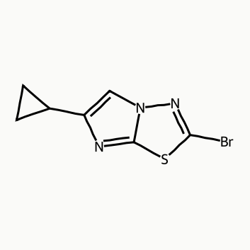 Brc1nn2cc(C3CC3)nc2s1